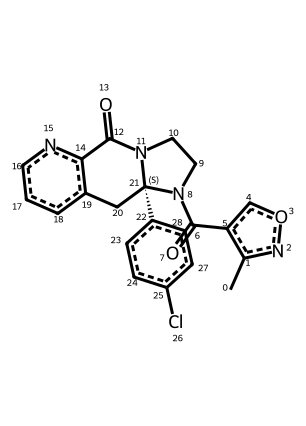 Cc1nocc1C(=O)N1CCN2C(=O)c3ncccc3C[C@]12c1ccc(Cl)cc1